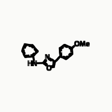 COc1ccc(-c2coc(Nc3ccccc3)n2)cc1